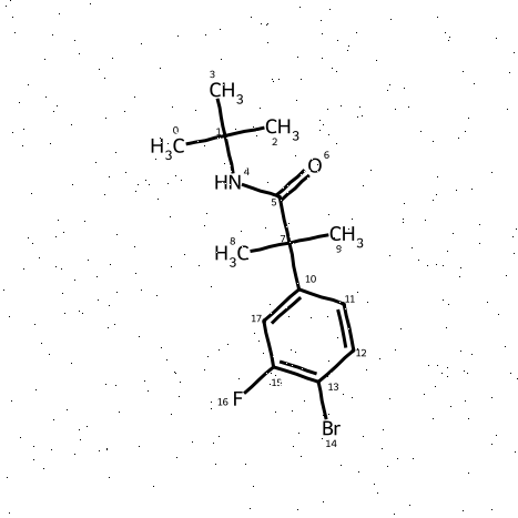 CC(C)(C)NC(=O)C(C)(C)c1ccc(Br)c(F)c1